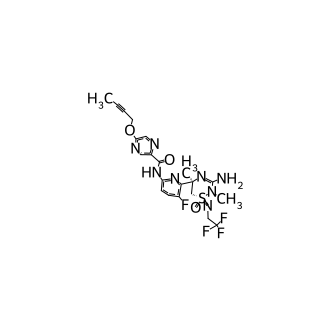 CC#CCOc1cnc(C(=O)Nc2ccc(F)c([C@]3(C)C[S@@](=O)(=NCC(F)(F)F)N(C)C(N)=N3)n2)cn1